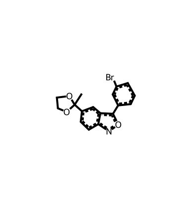 CC1(c2ccc3noc(-c4cccc(Br)c4)c3c2)OCCO1